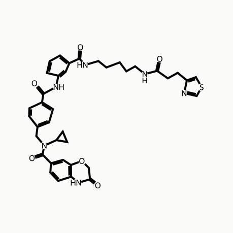 O=C(CCc1cscn1)NCCCCCNC(=O)c1cccc(NC(=O)c2ccc(CN(C(=O)c3ccc4c(c3)OCC(=O)N4)C3CC3)cc2)c1